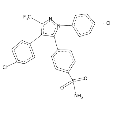 NS(=O)(=O)c1ccc(-c2c(-c3ccc(Cl)cc3)c(C(F)(F)F)nn2-c2ccc(Cl)cc2)cc1